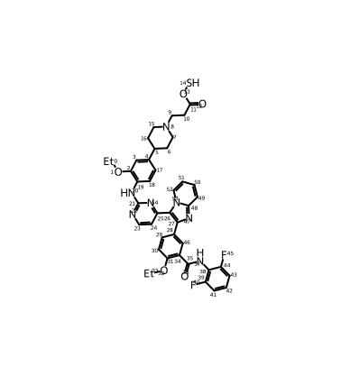 CCOc1cc(C2CCN(CCC(=O)OS)CC2)ccc1Nc1nccc(-c2c(-c3ccc(OCC)c(C(=O)Nc4c(F)cccc4F)c3)nc3ccccn23)n1